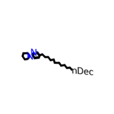 CCCCCCCCCCCCCCCCCCCCCCc1ccc(N2CCCCC2)nc1